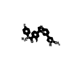 CN1C=C(c2ccc3ncc(-c4ccc(C(=O)N(C)c5ccc(F)cc5)c(F)c4)n3c2)CN1